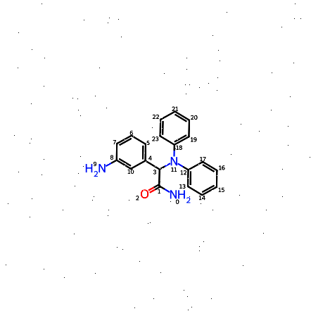 NC(=O)C(c1cccc(N)c1)N(c1ccccc1)c1ccccc1